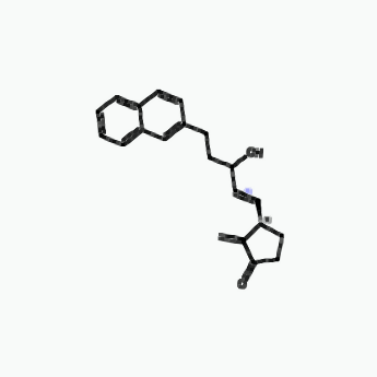 C=C1C(=O)CC[C@@H]1/C=C/C(O)CCc1ccc2ccccc2c1